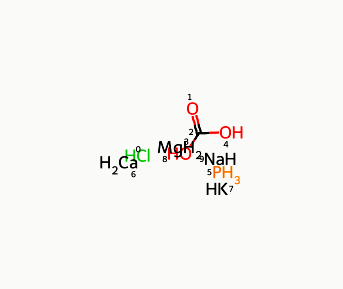 Cl.O=C(O)O.P.[CaH2].[KH].[MgH2].[NaH]